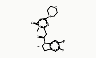 C[C@H]1Cc2cc(F)c(F)cc2N1C(=O)Cc1nc(N2CCOCC2)cc(=O)n1C